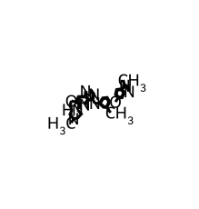 Cc1cc(Nc2ncnc3cc4c(nc23)N2CCN(C)C[C@H]2CO4)ccc1Oc1ccc2c(c1)ncn2C